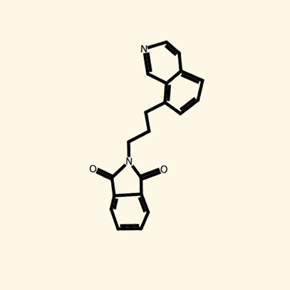 O=C1c2ccccc2C(=O)N1CCCc1cccc2ccncc12